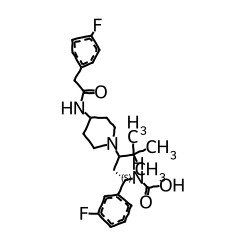 CC(C)(C)C(C[C@H](NC(=O)O)c1cccc(F)c1)N1CCC(NC(=O)Cc2ccc(F)cc2)CC1